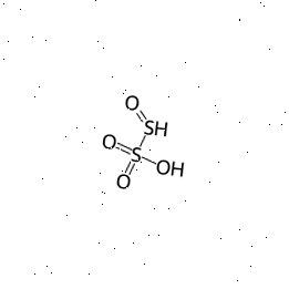 O=[SH]S(=O)(=O)O